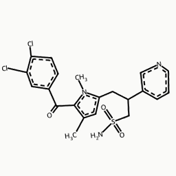 Cc1cc(CC(CS(N)(=O)=O)c2cccnc2)n(C)c1C(=O)c1ccc(Cl)c(Cl)c1